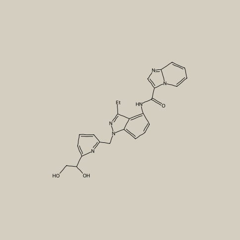 CCc1nn(Cc2cccc(C(O)CO)n2)c2cccc(NC(=O)c3cnc4ccccn34)c12